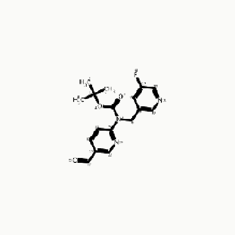 CC(C)(C)OC(=O)N(Cc1cncc(F)c1)c1ccc(C=O)cn1